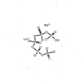 O=P([O-])([O-])OP(=O)([O-])OP(=O)([O-])OP(=O)([O-])OP(=O)([O-])O.[La+3].[Nd+3]